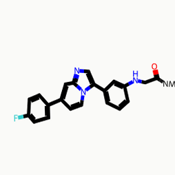 CNC(=O)CNc1cccc(-c2cnc3cc(-c4ccc(F)cc4)ccn23)c1